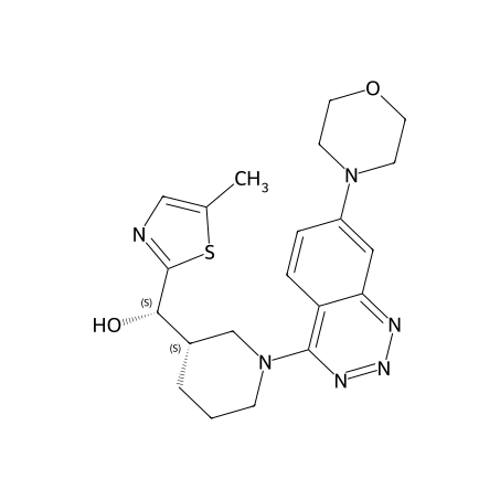 Cc1cnc([C@@H](O)[C@H]2CCCN(c3nnnc4cc(N5CCOCC5)ccc34)C2)s1